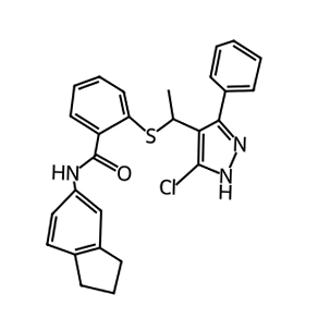 CC(Sc1ccccc1C(=O)Nc1ccc2c(c1)CCC2)c1c(-c2ccccc2)n[nH]c1Cl